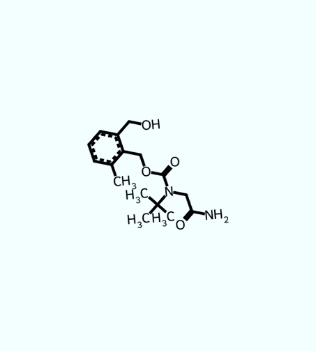 Cc1cccc(CO)c1COC(=O)N(CC(N)=O)C(C)(C)C